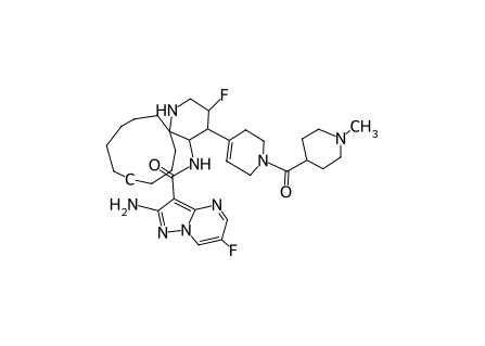 CN1CCC(C(=O)N2CC=C(C3C(F)CNC4(CCCCCCCCC4)C3NC(=O)c3c(N)nn4cc(F)cnc34)CC2)CC1